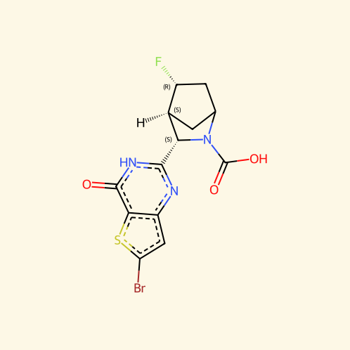 O=C(O)N1C2C[C@H]([C@H](F)C2)[C@H]1c1nc2cc(Br)sc2c(=O)[nH]1